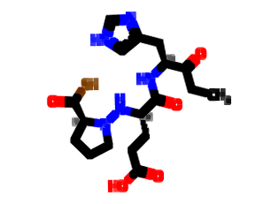 CCC(=O)[C@H](Cc1c[nH]cn1)NC(=O)[C@H](CCC(=O)O)NN1CCC[C@H]1C(=O)S